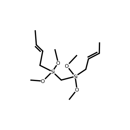 CC=CC[Si](C[Si](CC=CC)(OC)OC)(OC)OC